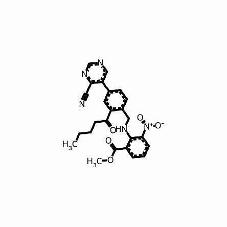 CCCCC(=O)c1cc(-c2cncnc2C#N)ccc1CNc1c(C(=O)OC)cccc1[N+](=O)[O-]